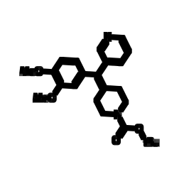 COc1ccc(C(=C2CCN(C(=O)OC(C)(C)C)CC2)c2cccnc2)cc1OC